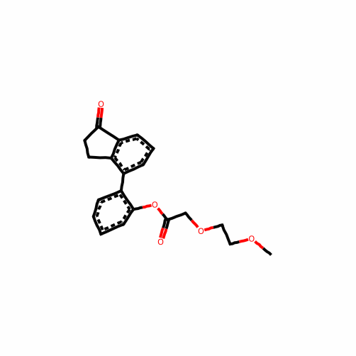 COCCOCC(=O)Oc1ccccc1-c1cccc2c1CCC2=O